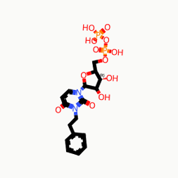 O=c1ccn(C2OC(COP(=O)(O)OP(=O)(O)O)[C@H](O)C2O)c(=O)n1CCc1ccccc1